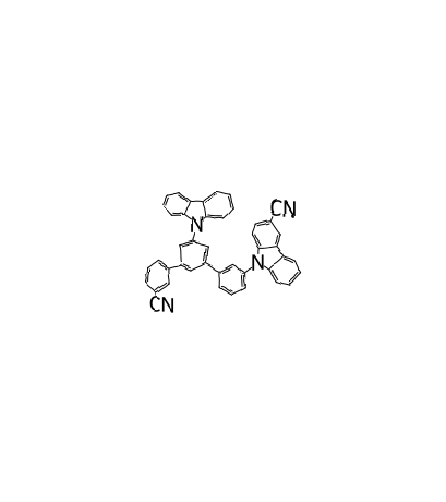 N#Cc1cccc(-c2cc(-c3cccc(-n4c5ccccc5c5cc(C#N)ccc54)c3)cc(-n3c4ccccc4c4ccccc43)c2)c1